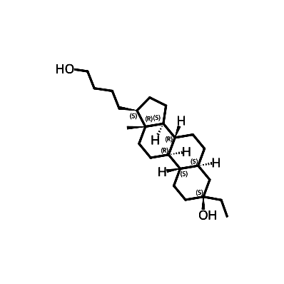 CC[C@]1(O)CC[C@H]2[C@@H](CC[C@@H]3[C@@H]2CC[C@]2(C)[C@@H](CCCCO)CC[C@@H]32)C1